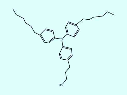 CCCCCCc1ccc(N(c2ccc(CCCS)cc2)c2ccc(CCCCCC)cc2)cc1